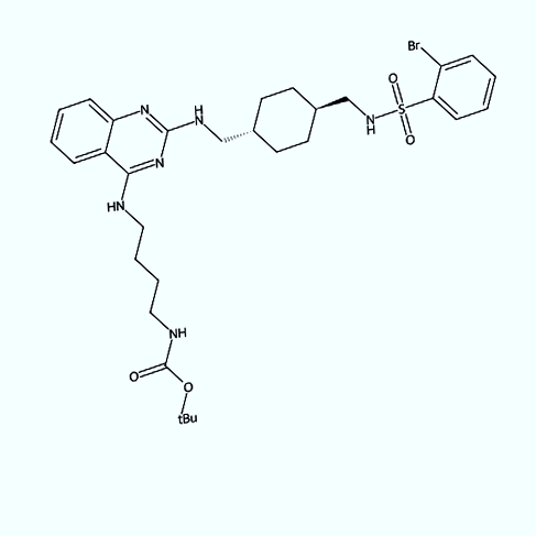 CC(C)(C)OC(=O)NCCCCNc1nc(NC[C@H]2CC[C@H](CNS(=O)(=O)c3ccccc3Br)CC2)nc2ccccc12